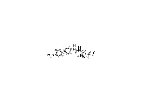 Cn1nc(C(C)(C)CO)cc1NC(=O)Nc1ccc(-c2ccc(N)nc2)cc1